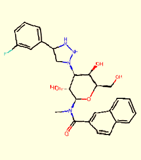 CN(C(=O)c1ccc2ccccc2c1)[C@@H]1O[C@H](CO)[C@H](O)[C@H](N2CC(c3cccc(F)c3)NN2)[C@H]1O